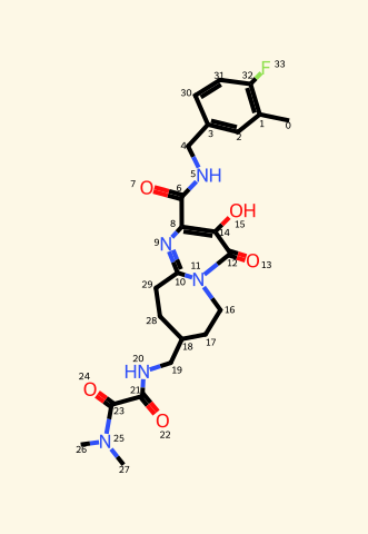 Cc1cc(CNC(=O)c2nc3n(c(=O)c2O)CCC(CNC(=O)C(=O)N(C)C)CC3)ccc1F